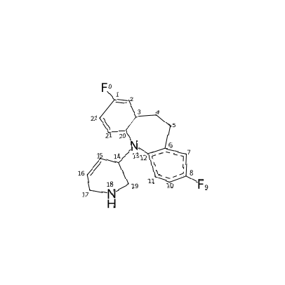 FC1=CC2CCc3cc(F)ccc3N(C3C=CCNC3)C2C=C1